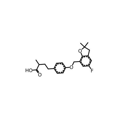 CC(CCc1ccc(OCc2cc(F)cc3c2OC(C)(C)C3)cc1)C(=O)O